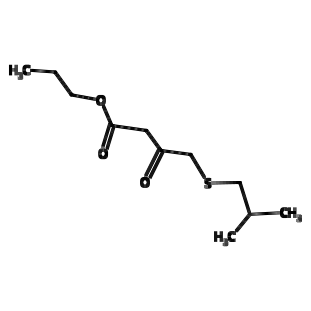 CCCOC(=O)CC(=O)CSCC(C)C